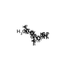 Cn1nc(C23CCC(CN(C(=O)C45CC(F)(C4)C5)c4cccc(-c5noc(C(F)F)n5)c4)(CC2)CC3)cc1C1CC1